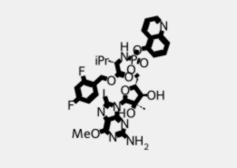 COc1nc(N)nc2c1nc(I)n2C1O[C@H](COP(=O)(N[C@H](C(=O)OCc2ccc(F)cc2F)C(C)C)Oc2cccc3ncccc23)[C@@H](O)[C@@]1(C)O